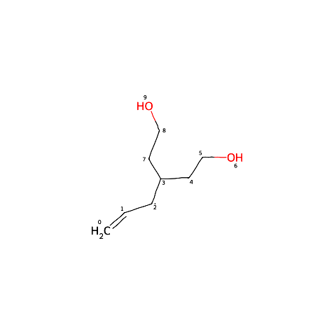 C=C[CH]C(CCO)CCO